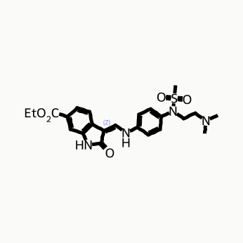 CCOC(=O)c1ccc2c(c1)NC(=O)/C2=C\Nc1ccc(N(CCN(C)C)S(C)(=O)=O)cc1